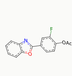 CC(=O)Oc1ccc(-c2nc3ccccc3o2)cc1F